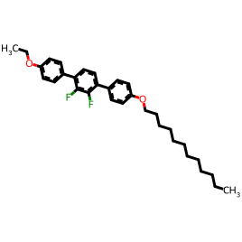 CCCCCCCCCCCCOc1ccc(-c2ccc(-c3ccc(OCC)cc3)c(F)c2F)cc1